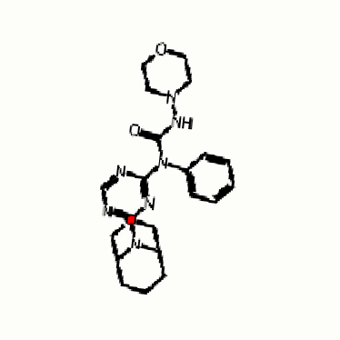 O=C(NN1CCOCC1)N(c1ccccc1)c1ncnc(N2C3CCCC2COC3)n1